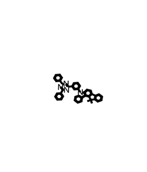 CC1(C)c2ccccc2-c2ccc3c(c21)c1ccccc1n3-c1cccc(-c2nc(-c3ccccc3)nc(-c3ccccc3)n2)c1